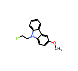 COc1ccc2c(c1)c1ccccc1n2CCF